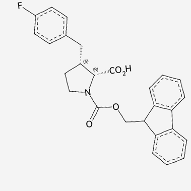 O=C(O)[C@H]1[C@@H](Cc2ccc(F)cc2)CCN1C(=O)OCC1c2ccccc2-c2ccccc21